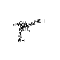 CCCC(C)(O)CC(C)(CCCCCOCCCCCO)OCCCCCCO